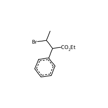 CCOC(=O)C(c1ccccc1)C(C)Br